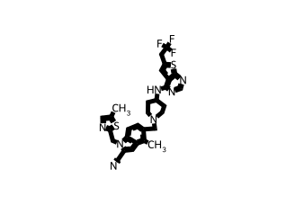 Cc1cnc(Cn2c(C#N)cc3c(C)c(CN4CCC(Nc5ncnc6sc(CC(F)(F)F)cc56)CC4)ccc32)s1